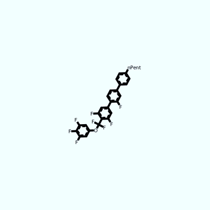 CCCCCc1ccc(-c2ccc(-c3cc(F)c(C(F)(F)Oc4cc(F)c(F)c(F)c4)c(F)c3)c(F)c2)cc1